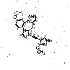 COc1ccc2c(c1)-n1nncc1Cc1c(C#Cc3c[nH]nc3OC)ncn1-2